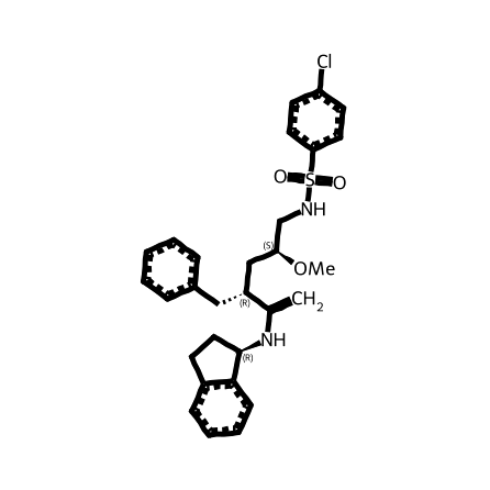 C=C(N[C@@H]1CCc2ccccc21)[C@H](Cc1ccccc1)C[C@@H](CNS(=O)(=O)c1ccc(Cl)cc1)OC